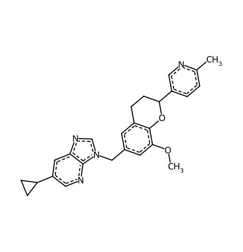 COc1cc(Cn2cnc3cc(C4CC4)cnc32)cc2c1OC(c1ccc(C)nc1)CC2